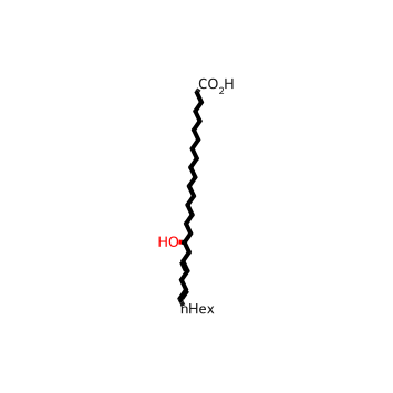 CCCCCCC=CCC=CCC(O)CCCCCCCCCCCCCCCCC(=O)O